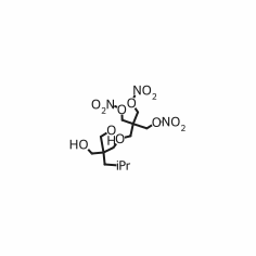 CC(C)CC(CO)(CO)COCC(CO[N+](=O)[O-])(CO[N+](=O)[O-])CO[N+](=O)[O-]